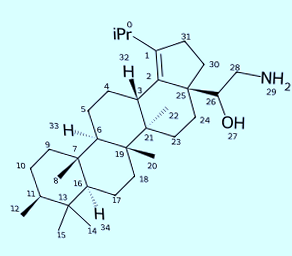 CC(C)C1=C2[C@H]3CC[C@@H]4[C@@]5(C)CC[C@H](C)C(C)(C)[C@@H]5CC[C@@]4(C)[C@]3(C)CC[C@@]2(C(O)CN)CC1